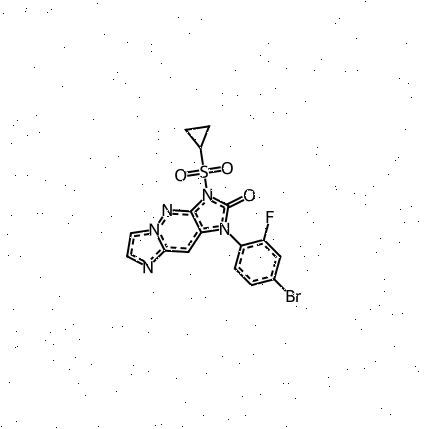 O=c1n(-c2ccc(Br)cc2F)c2cc3nccn3nc2n1S(=O)(=O)C1CC1